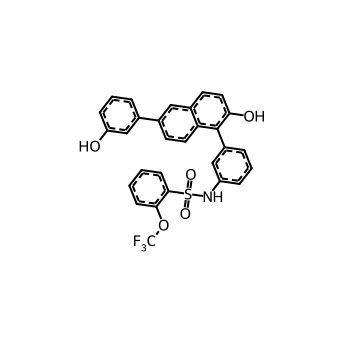 O=S(=O)(Nc1cccc(-c2c(O)ccc3cc(-c4cccc(O)c4)ccc23)c1)c1ccccc1OC(F)(F)F